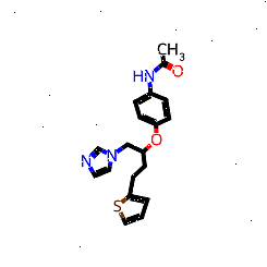 CC(=O)Nc1ccc(OC(CCc2cccs2)Cn2ccnc2)cc1